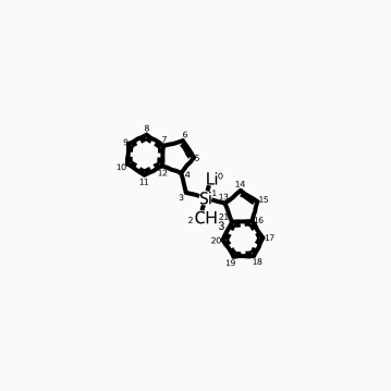 [Li][Si](C)(CC1C=Cc2ccccc21)C1C=Cc2ccccc21